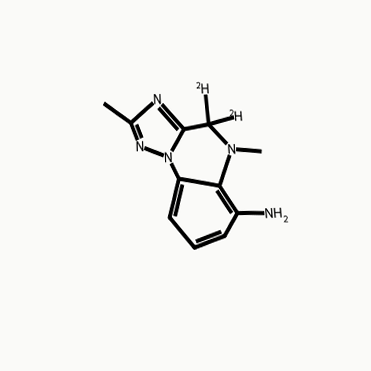 [2H]C1([2H])c2nc(C)nn2-c2cccc(N)c2N1C